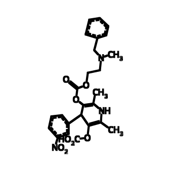 CC1=C(OC(=O)O)C(c2cccc([N+](=O)[O-])c2)C(OC(=O)OCCN(C)Cc2ccccc2)=C(C)N1